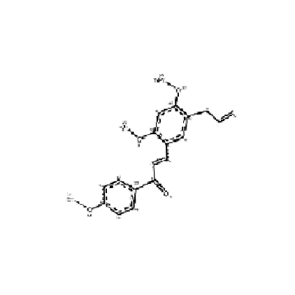 C=CCc1cc(C=CC(=O)c2ccc(OCC)cc2)c(OCCC)cc1OCCC